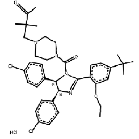 CCOc1cc(C(C)(C)C)ccc1C1=N[C@@H](c2ccc(Cl)cc2)[C@@H](c2ccc(Cl)cc2)N1C(=O)N1CCN(CC(C)(C)C(C)=O)CC1.Cl